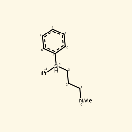 CNCCC[SiH](c1ccccc1)C(C)C